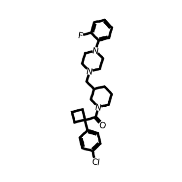 O=C(N1CCCC(CN2CCN(c3ccccc3F)CC2)C1)C1(c2ccc(Cl)cc2)CCC1